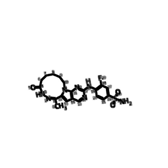 C/C1=N/NC(=O)CCCCCn2c1cc1cnc(Nc3ccc(S(N)(=O)=O)cc3F)nc12